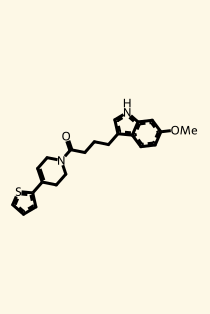 COc1ccc2c(CCCC(=O)N3CC=C(c4cccs4)CC3)c[nH]c2c1